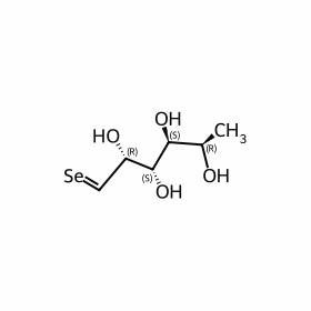 C[C@@H](O)[C@H](O)[C@H](O)[C@@H](O)C=[Se]